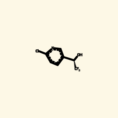 O[C@@H](c1ccc(Cl)nc1)C(F)(F)F